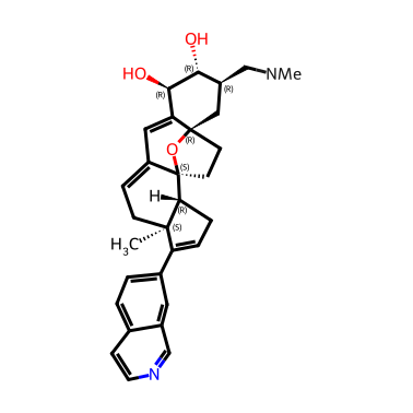 CNC[C@H]1C[C@@]23CC[C@@]4(O2)C(=CC[C@]2(C)C(c5ccc6ccncc6c5)=CC[C@H]24)C=C3[C@@H](O)[C@@H]1O